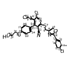 [C-]#[N+]c1c(Cl)nc(SCc2coc(-c3ccc(Cl)cc3)n2)c(C#N)c1-c1ccc(OCCO)cc1